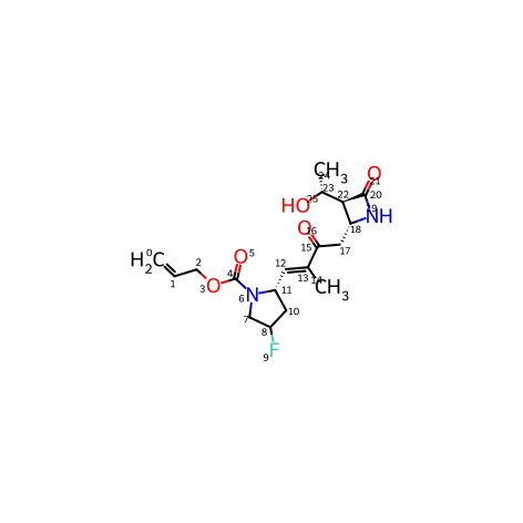 C=CCOC(=O)N1CC(F)C[C@H]1/C=C(\C)C(=O)C[C@H]1NC(=O)[C@@H]1[C@@H](C)O